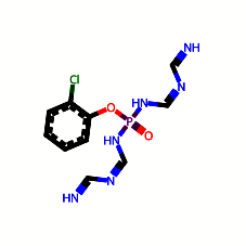 N=C/N=C\NP(=O)(N/C=N\C=N)Oc1ccccc1Cl